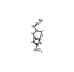 [N-]=[N+]=NC1COc2nc([N+](=O)[O-])cn2C1